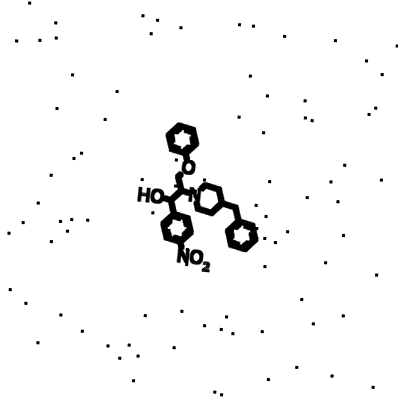 O=[N+]([O-])c1ccc(C(O)C(COc2ccccc2)N2CCC(Cc3ccccc3)CC2)cc1